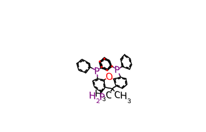 CC1(C)c2cccc(P(c3ccccc3)c3ccccc3)c2Oc2c(P(c3ccccc3)c3ccccc3)ccc(P)c21